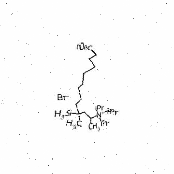 CCCCCCCCCCCCCCCCCCC(C)([SiH3])CC(C)[N+](C(C)C)(C(C)C)C(C)C.[Br-]